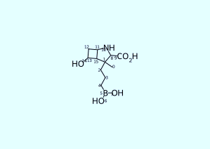 CC1(CCCB(O)O)C(C(=O)O)NC2CC(O)C21